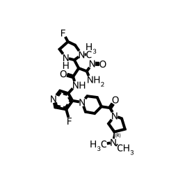 CN1CC(F)CNC1C(C(=O)Nc1cncc(F)c1N1CCC(C(=O)N2CC[C@@H](N(C)C)C2)CC1)C(N)N=O